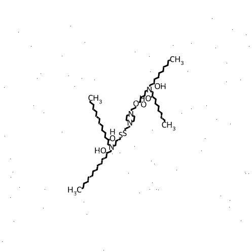 CCCCCCCCCCCCC(O)CN(CCCSSCCN1CCN(CCOC(=O)CCCN(CC(O)CCCCCCCC)CC(O)CCCCCCCC)CC1)CC(O)CCCCCCCCCCCC